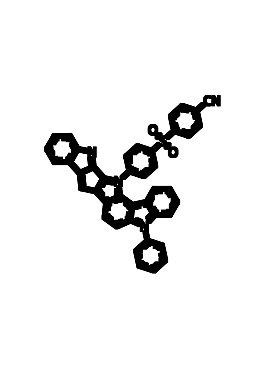 N#Cc1ccc(S(=O)(=O)c2ccc(-n3c4c(c5ccc6c(c7ccccc7n6-c6ccccc6)c53)C=C3C4=Nc4ccccc43)cc2)cc1